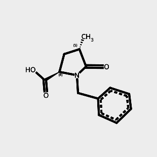 C[C@H]1C[C@H](C(=O)O)N(Cc2ccccc2)C1=O